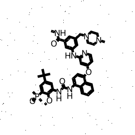 CNC(=O)c1cc(CN2CCN(C)CC2)cc(Nc2cc(Oc3ccc(NC(=O)Nc4cc(C(C)(C)C)cc(P(C)(C)=O)c4OC)c4ccccc34)ccn2)c1